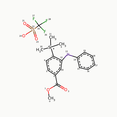 COC(=O)c1ccc([Si](C)(C)C)c([I+]c2ccccc2)c1.O=S(=O)([O-])C(F)(F)F